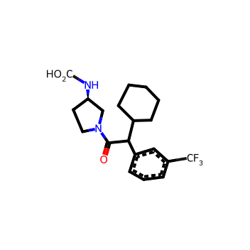 O=C(O)N[C@@H]1CCN(C(=O)C(c2cccc(C(F)(F)F)c2)C2CCCCC2)C1